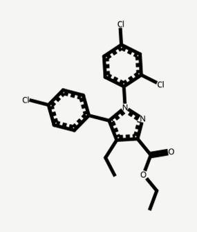 CCOC(=O)c1nn(-c2ccc(Cl)cc2Cl)c(-c2ccc(Cl)cc2)c1CC